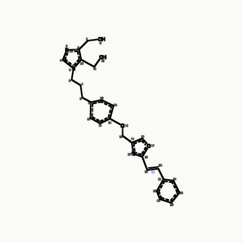 OCc1ncn(CCCc2ccc(OCc3coc(/C=C/c4ccccc4)n3)cc2)c1CO